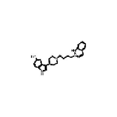 Oc1ccc2[nH]cc(C3CCN(CCCCN4N=Cc5ccccc5N4)CC3)c2c1